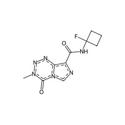 Cn1nnc2c(C(=O)NC3(F)CCC3)ncn2c1=O